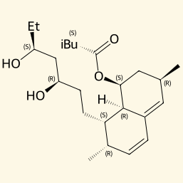 CC[C@H](O)C[C@H](O)CC[C@@H]1[C@@H]2C(=C[C@H](C)C[C@@H]2OC(=O)[C@@H](C)CC)C=C[C@@H]1C